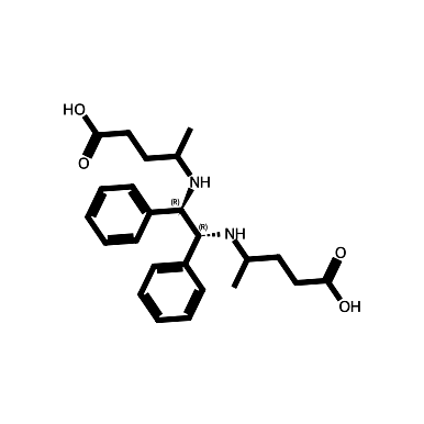 CC(CCC(=O)O)N[C@H](c1ccccc1)[C@H](NC(C)CCC(=O)O)c1ccccc1